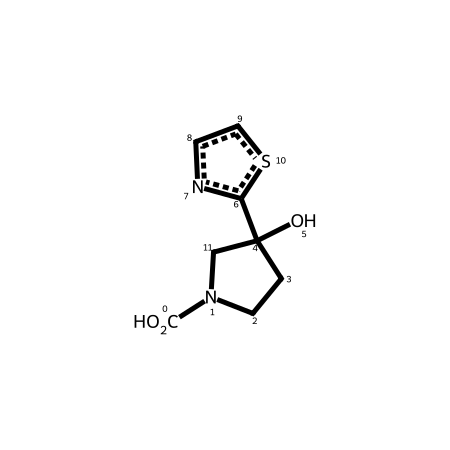 O=C(O)N1CCC(O)(c2nccs2)C1